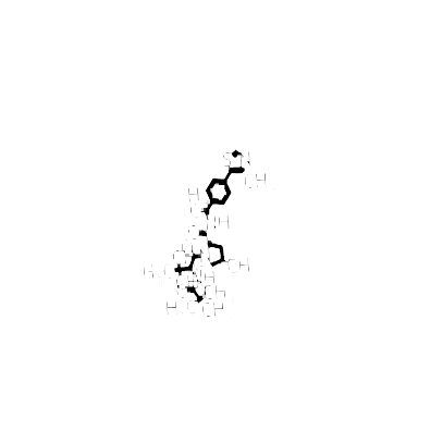 Cc1ncsc1-c1ccc([C@@H](C)NC(=O)[C@H]2C[C@H](C)CN2C(=O)[C@H](NC(=O)C(C)(C)C)C(C)(C)C)cc1